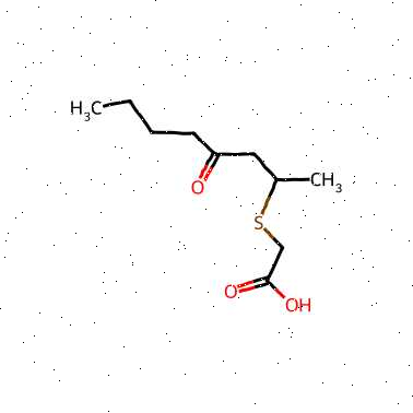 CCCCC(=O)CC(C)SCC(=O)O